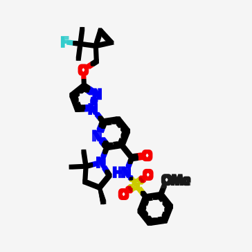 COc1ccccc1S(=O)(=O)NC(=O)c1ccc(-n2ccc(OCC3(C(C)(C)F)CC3)n2)nc1N1C[C@@H](C)CC1(C)C